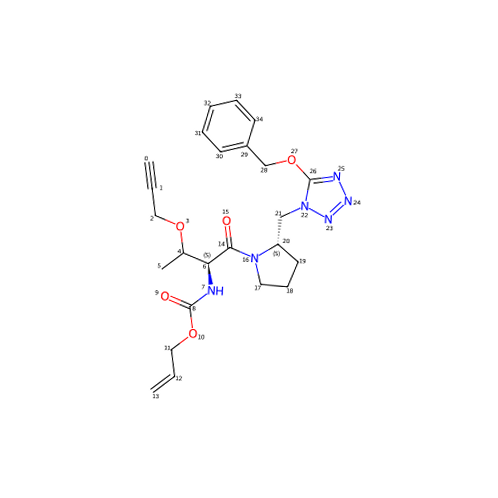 C#CCOC(C)[C@H](NC(=O)OCC=C)C(=O)N1CCC[C@H]1Cn1nnnc1OCc1ccccc1